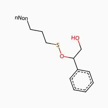 CCCCCCCCCCCCSOC(CO)c1ccccc1